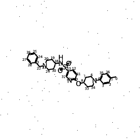 Cc1ccc(N2CCC(Oc3ccc(S(=O)(=O)NC4CCN(Cc5ccccc5)CC4)cn3)CC2)cc1